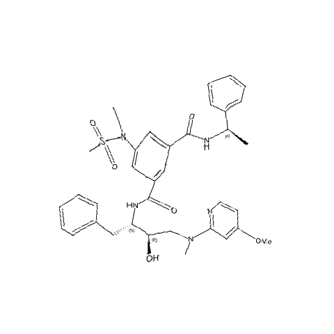 COc1ccnc(N(C)C[C@@H](O)[C@H](Cc2ccccc2)NC(=O)c2cc(C(=O)N[C@H](C)c3ccccc3)cc(N(C)S(C)(=O)=O)c2)c1